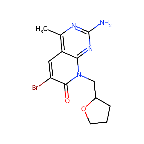 Cc1nc(N)nc2c1cc(Br)c(=O)n2CC1CCCO1